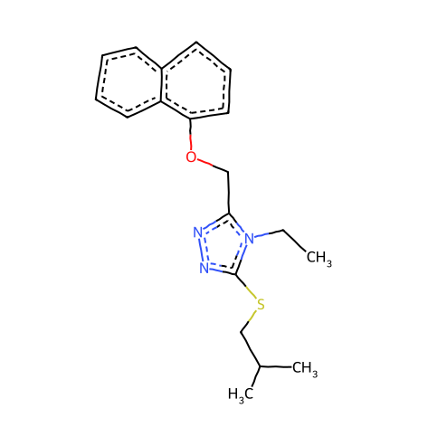 CCn1c(COc2cccc3ccccc23)nnc1SCC(C)C